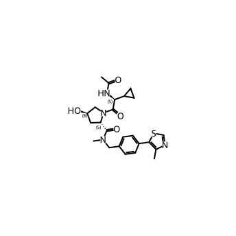 CC(=O)N[C@H](C(=O)N1C[C@H](O)C[C@H]1C(=O)N(C)Cc1ccc(-c2scnc2C)cc1)C1CC1